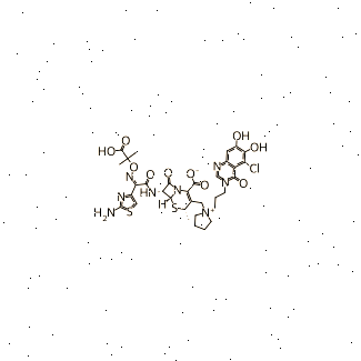 C[C@@H]1S[C@@H]2[C@H](NC(=O)/C(=N\OC(C)(C)C(=O)O)c3csc(N)n3)C(=O)N2C(C(=O)[O-])=C1C[N+]1(CCCn2cnc3cc(O)c(O)c(Cl)c3c2=O)CCCC1